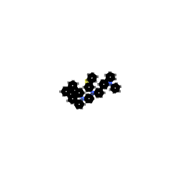 c1ccc(N(c2cccc(N(c3cccc(-c4ccc5c6ccccc6n(-c6ccccc6)c5c4)c3)c3ccc4sc5ccccc5c4c3)c2)c2ccc3c(c2)C2(c4ccccc4-c4ccccc42)c2ccccc2-3)cc1